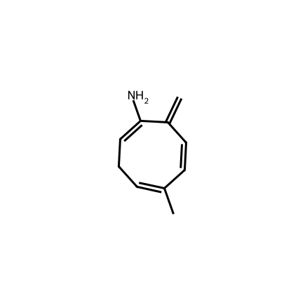 C=C1/C=C\C(C)=C/C/C=C\1N